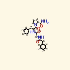 NC(=O)[C@@H]1CCCN1C(=O)[C@H](Cc1ccccc1)NC(=O)CNC(=O)Cc1ccccc1